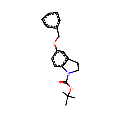 CC(C)(C)OC(=O)N1CCc2cc(OCc3ccccc3)ccc21